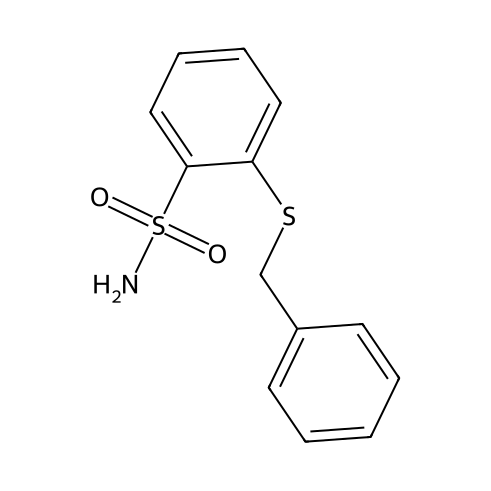 NS(=O)(=O)c1ccccc1SCc1ccccc1